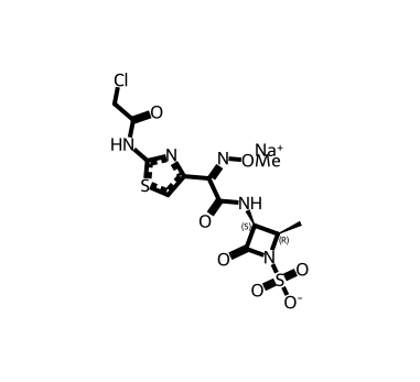 CON=C(C(=O)N[C@@H]1C(=O)N(S(=O)(=O)[O-])[C@@H]1C)c1csc(NC(=O)CCl)n1.[Na+]